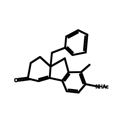 CC(=O)Nc1ccc2c(c1C)CC1(Cc3ccccc3)CCC(=O)C=C21